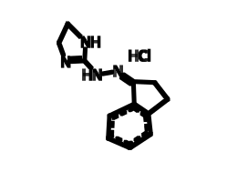 Cl.c1ccc2c(c1)CC/C2=N/NC1=NCCN1